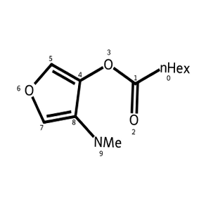 CCCCCCC(=O)Oc1cocc1NC